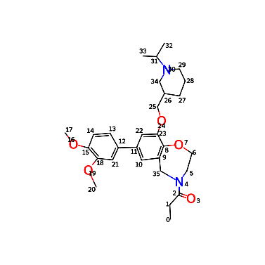 CCC(=O)N1CCOc2c(cc(-c3ccc(OC)c(OC)c3)cc2OCC2CCCN(C(C)C)C2)C1